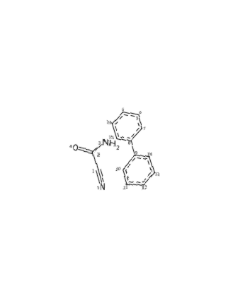 N#CC(N)=O.c1ccc(-c2ccccc2)cc1